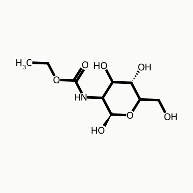 CCOC(=O)NC1C(O)[C@H](O)C(CO)O[C@H]1O